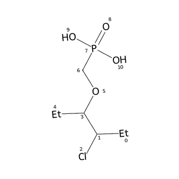 CCC(Cl)C(CC)OCP(=O)(O)O